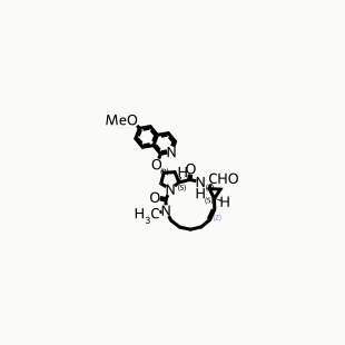 COc1ccc2c(O[C@@H]3C[C@H]4C(=O)N[C@]5(C=O)C[C@H]5/C=C\CCCCN(C)C(=O)N4C3)nccc2c1